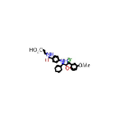 COc1ccc2c(c1)C(Br)C(C(Nc1ccc(C(=O)NCCC(=O)O)cc1)C1CCCCC1)O2